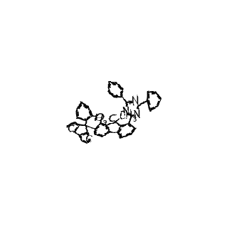 CC1(C)c2c(-c3nc(-c4ccccc4)nc(-c4ccccc4)n3)cccc2-c2ccc3c(c21)Oc1ccccc1C31c2ccccc2-c2ccccc21